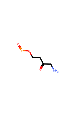 NCC(=O)CCOP=O